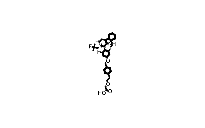 C[C@@H]1Cc2c([nH]c3ccccc23)[C@@H](c2c(F)cc(OCc3ccc(CCOCC(=O)O)cc3)cc2F)N1CC(C)(C)F